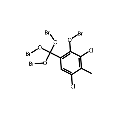 Cc1c(Cl)cc(C(OBr)(OBr)OBr)c(OBr)c1Cl